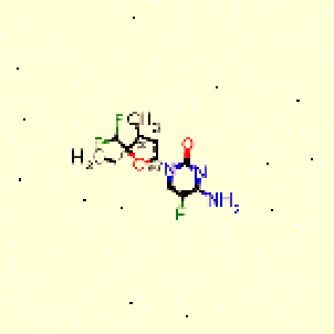 CC[C@@]1(C(F)F)O[C@@H](n2cc(F)c(N)nc2=O)C[C@@H]1C